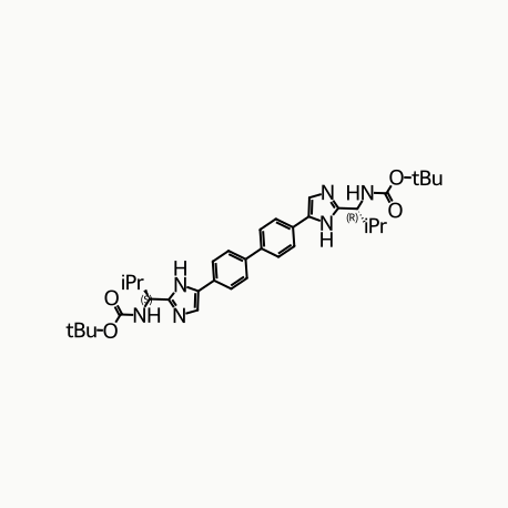 CC(C)[C@H](NC(=O)OC(C)(C)C)c1ncc(-c2ccc(-c3ccc(-c4cnc([C@H](NC(=O)OC(C)(C)C)C(C)C)[nH]4)cc3)cc2)[nH]1